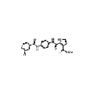 CNC(=O)c1nc[nH]c1C(=O)Nc1ccc(NC(=O)c2ccnc(Cl)c2)cc1